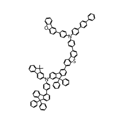 CC1(C)c2ccccc2-c2ccc(N(c3ccc(-c4cccc5c4-c4ccccc4C5(c4ccccc4)c4ccccc4)cc3)c3ccc4c(c3)C(c3ccccc3)(c3ccccc3)c3ccc(-c5ccc6c(c5)sc5ccc(-c7ccc(N(c8ccc(-c9ccc(-c%10ccccc%10)cc9)cc8)c8ccc(-c9ccc%10oc%11ccccc%11c%10c9)cc8)cc7)cc56)cc3-4)cc21